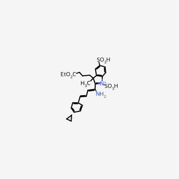 C1CC1.CCOC(=O)CCCC1(C)C(C(N)=CC=Cc2ccccc2)=[N+](S(=O)(=O)O)c2ccc(S(=O)(=O)O)cc21